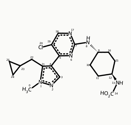 Cn1ncc(-c2nc(N[C@H]3CC[C@H](NC(=O)O)CC3)ncc2Cl)c1CC1CC1